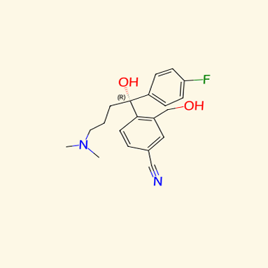 CN(C)CCC[C@@](O)(c1ccc(F)cc1)c1ccc(C#N)cc1CO